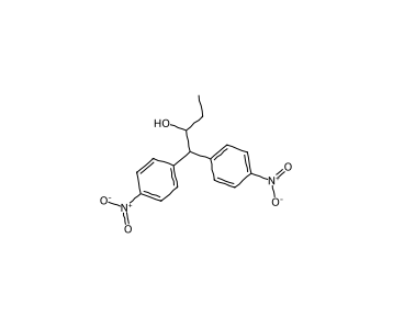 CCC(O)C(c1ccc([N+](=O)[O-])cc1)c1ccc([N+](=O)[O-])cc1